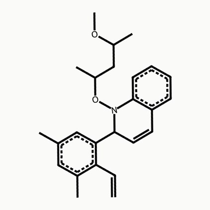 C=Cc1c(C)cc(C)cc1C1C=Cc2ccccc2N1OC(C)CC(C)OC